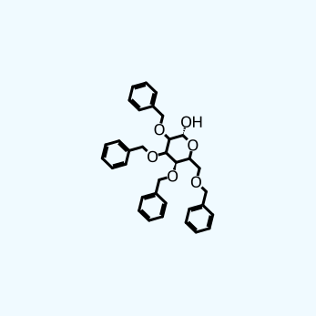 O[C@@H]1OC(COCc2ccccc2)[C@@H](OCc2ccccc2)C(OCc2ccccc2)C1OCc1ccccc1